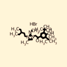 Br.CCC(CC)CCn1c(C)cn(CC(=O)c2cc(C(C)(C)C)c(O)c(C(C)(C)C)c2)c1=NC